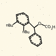 CCCCc1cccc(C(OC(=O)O)c2ccccc2)c1CCCC